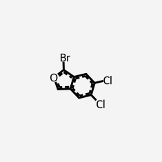 Clc1cc2coc(Br)c2cc1Cl